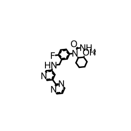 NC(=O)N(c1ccc(F)c(CNc2cncc(-c3ncccn3)c2)c1)[C@@H]1CCCC[C@@H]1O